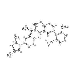 COc1ncnc(C2CC2)c1-c1ncc2c(n1)N(Cc1ccc(-c3nc(C(F)(F)F)cn3C)cc1)C(NN)NC2